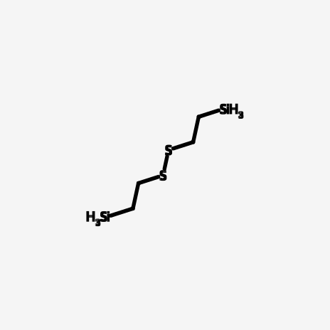 [SiH3]CCSSCC[SiH3]